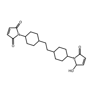 O=C1C=CC(=O)N1C1CCC(CCC2CCC(N3C(=O)C=CC3O)CC2)CC1